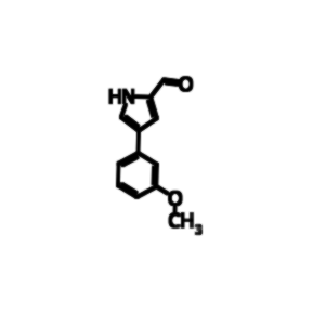 COc1cccc(-c2c[nH]c(C=O)c2)c1